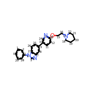 c1ccc(-n2cnc3cc(-c4ccc(OCCN5CCCCC5)nc4)ccc32)cc1